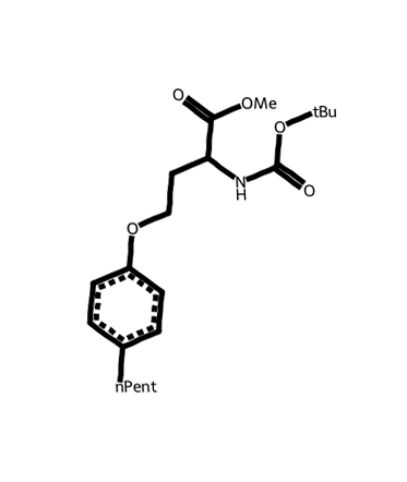 CCCCCc1ccc(OCCC(NC(=O)OC(C)(C)C)C(=O)OC)cc1